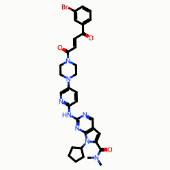 CN(C)C(=O)c1cc2cnc(Nc3ccc(N4CCN(C(=O)/C=C/C(=O)c5cccc(Br)c5)CC4)cn3)nc2n1C1CCCC1